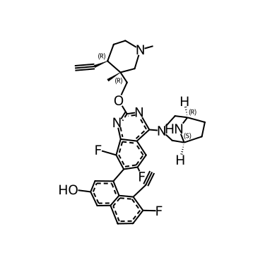 C#Cc1c(F)ccc2cc(O)cc(-c3c(F)cc4c(N5C[C@H]6CC[C@@H](C5)N6)nc(OC[C@@]5(C)CN(C)CC[C@@H]5C#C)nc4c3F)c12